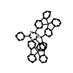 O=C(c1ccc2c(c1)C1(c3ccccc3-c3ccccc31)c1ccccc1-2)c1ccc2c(c1)C1(c3ccccc3-2)c2ccccc2-c2ccc(-c3nc(-c4ccccc4)nc(-c4ccccc4)n3)cc21